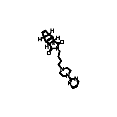 O=C1[C@@H]2C3C=CC([C@H]4C=C[C@@H]34)[C@@H]2C(=O)N1CCCCN1CCN(c2ncccn2)CC1